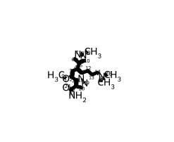 COc1cc(-c2cnn(C)c2)c(CCCN(C)C)n2ncc(C(N)=O)c12